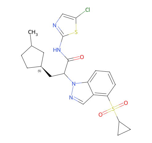 CC1CC[C@H](CC(C(=O)Nc2ncc(Cl)s2)n2ncc3c(S(=O)(=O)C4CC4)cccc32)C1